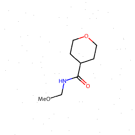 COCNC(=O)C1CCOCC1